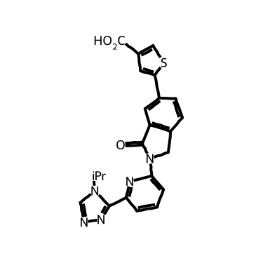 CC(C)n1cnnc1-c1cccc(N2Cc3ccc(-c4cc(C(=O)O)cs4)cc3C2=O)n1